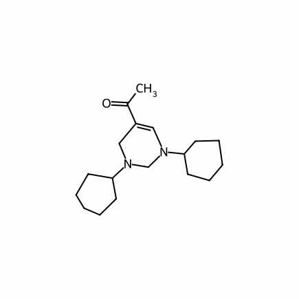 CC(=O)C1=CN(C2CCCCC2)CN(C2CCCCC2)C1